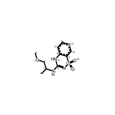 COCC(C)NC1=NS(=O)(=O)c2cnccc2N1